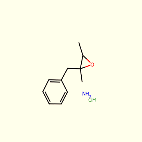 CC1OC1(C)Cc1ccccc1.Cl.N